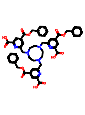 O=C(OCc1ccccc1)c1cc(CN2CCN(Cc3cc(C(=O)OCc4ccccc4)cc(C(=O)O)n3)CCN(Cc3cc(C(=O)OCc4ccccc4)cc(C(=O)O)n3)CC2)nc(C(=O)O)c1